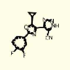 N#Cc1[nH]nnc1-c1nc(-c2ccc(F)c(F)c2)oc1C1CC1